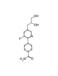 NC(=O)c1ccc(-c2ncc(CC(O)CO)cc2F)cc1